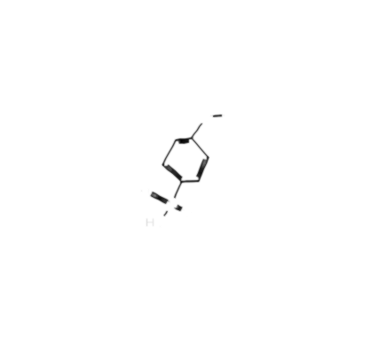 COc1c[c]c(S(=O)(=O)O)cc1